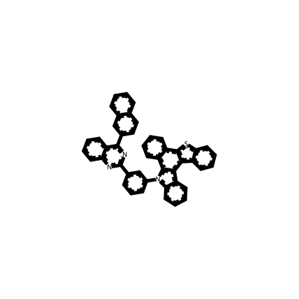 c1cc(-c2nc(-c3ccc4ccccc4c3)c3ccccc3n2)cc(-n2c3ccccc3c3c4c5ccccc5sc4c4ccccc4c32)c1